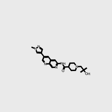 Cn1cc(-c2cnc3cnc(NC(=O)C4CCN(CC(C)(C)O)CC4)cc3c2)cn1